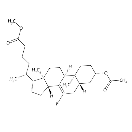 COC(=O)CCC[C@@H](C)[C@H]1CC[C@H]2C3=C(F)C[C@H]4C[C@@H](OC(C)=O)CC[C@]4(C)[C@@H]3CC[C@]12C